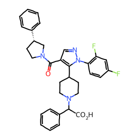 O=C(O)C(c1ccccc1)N1CCC(c2c(C(=O)N3CC[C@H](c4ccccc4)C3)cnn2-c2ccc(F)cc2F)CC1